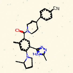 Cc1nnc(-c2cc(C(=O)N3CCC(c4ccc(C#N)cc4)CC3)c(C)cc2N2CCCC2C)[nH]1